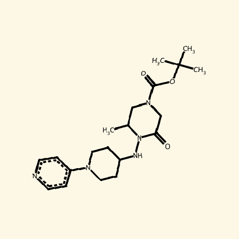 CC1CN(C(=O)OC(C)(C)C)CC(=O)N1NC1CCN(c2ccncc2)CC1